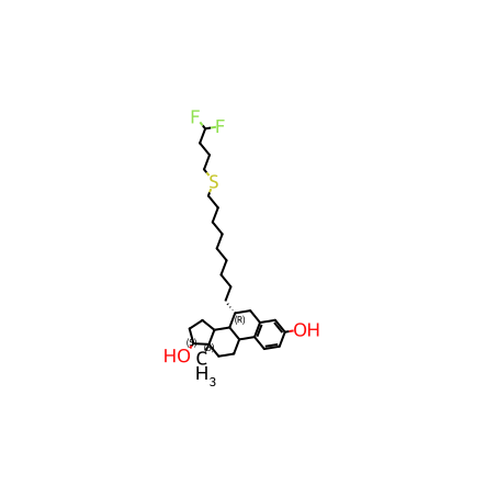 C[C@]12CCC3c4ccc(O)cc4C[C@@H](CCCCCCCCCSCCCC(F)F)C3C1CC[C@@H]2O